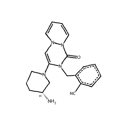 N#Cc1ccccc1CN1C(=O)N2C=CC=CN2C=C1N1CCC[C@@H](N)C1